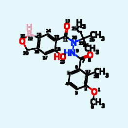 COc1cccc(C(=O)NN(C(=O)c2cc3c(cc2O)COB3)C(C)(C)C)c1C